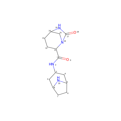 O=C(NC1CC2CCC(C1)N2)C1CCC2CN1C(=O)N2